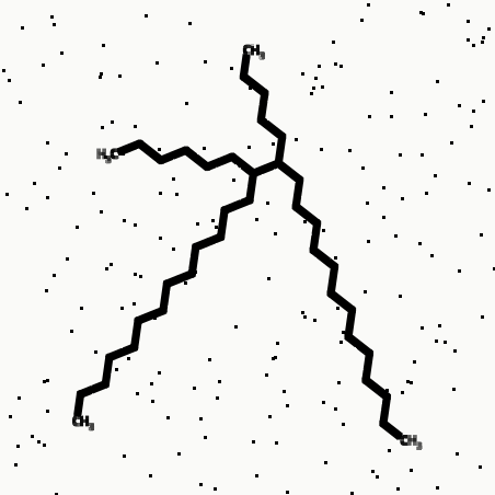 CCCCCCCCCCCCC[C](CCCCC)C(CCCCCC)CCCCCCCCCCCCC